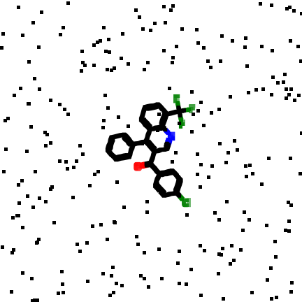 O=C(c1ccc(Cl)cc1)c1cnc2c(C(F)(F)F)cccc2c1-c1ccccc1